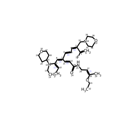 C=C(F)\C(=C/C=C/C(=C/C(=C/C)N(CC)C1CCOCC1)/C=C/C(=O)NC/C=C(/C)OCC)CN1CCOCC1